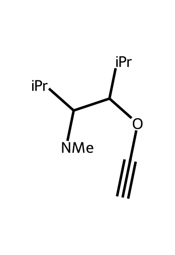 C#COC(C(C)C)C(NC)C(C)C